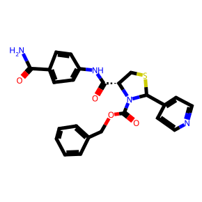 NC(=O)c1ccc(NC(=O)[C@@H]2CSC(c3ccncc3)N2C(=O)OCc2ccccc2)cc1